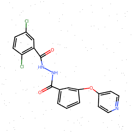 O=C(NNC(=O)c1cc(Cl)ccc1Cl)c1cccc(Oc2ccncc2)c1